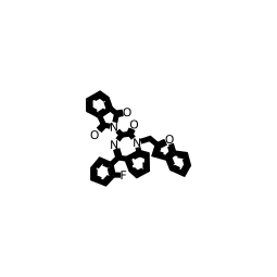 O=C1C(N2C(=O)c3ccccc3C2=O)N=C(c2ccccc2F)c2ccccc2N1Cc1cc2ccccc2o1